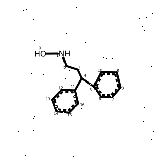 ONCCC(c1ccccc1)c1ccccc1